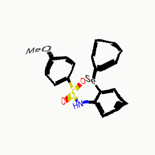 COc1ccc(S(=O)(=O)Nc2ccccc2[Se]c2ccccc2)cc1